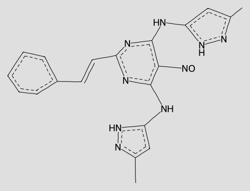 Cc1cc(Nc2nc(/C=C/c3ccccc3)nc(Nc3cc(C)n[nH]3)c2N=O)[nH]n1